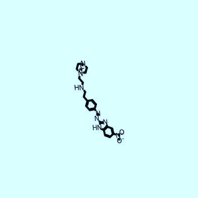 O=[N+]([O-])c1ccc2[nH]c(N=Nc3ccc(CCNCC[N+]45CCN(CC4)CC5)cc3)nc2c1